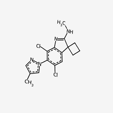 CNC1=Nc2c(cc(Cl)c(-n3cc(C)cn3)c2Cl)C12CCC2